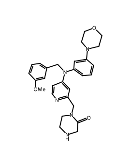 COc1cccc(CN(c2cccc(N3CCOCC3)c2)c2ccnc(CN3CCNCC3=O)c2)c1